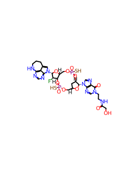 O=C(CO)NCCn1cnc2c(ncn2[C@@H]2O[C@@H]3COP(=O)(S)O[C@H]4[C@@H](F)[C@H](n5cc6c7c(ncnc75)NCCC6)O[C@@H]4COP(=O)(S)O[C@@H]2C3)c1=O